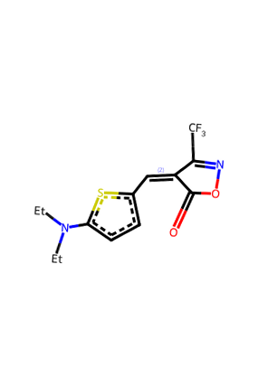 CCN(CC)c1ccc(/C=C2\C(=O)ON=C2C(F)(F)F)s1